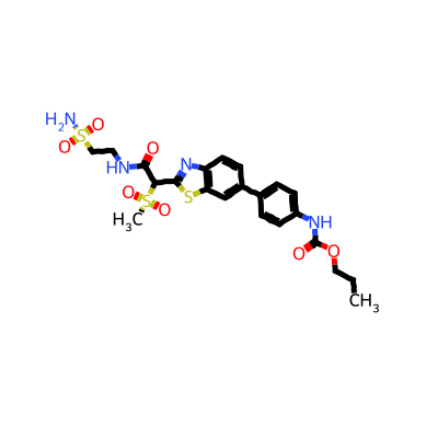 CCCOC(=O)Nc1ccc(-c2ccc3nc(C(C(=O)NCCS(N)(=O)=O)S(C)(=O)=O)sc3c2)cc1